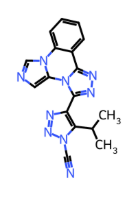 CC(C)c1c(-c2nnc3c4ccccc4n4cncc4n23)nnn1C#N